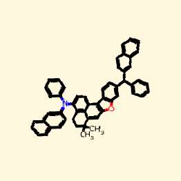 CC1(C)CCc2c(N(c3ccccc3)c3ccc4ccccc4c3)ccc3c2c1cc1oc2cc(C(c4ccccc4)c4ccc5ccccc5c4)ccc2c13